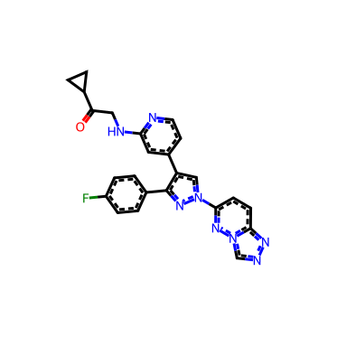 O=C(CNc1cc(-c2cn(-c3ccc4nncn4n3)nc2-c2ccc(F)cc2)ccn1)C1CC1